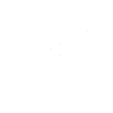 CCCOCCCN1CN(CCCOCCC)CN(CCCOCCC)C1